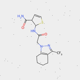 NC(=O)C1C=CSC1NC(=O)Cn1nc(C(F)(F)F)c2c1CCCC2